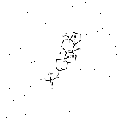 C[C@@]12CCC[C@H]1[C@@H]1CCC3CC(OP(=O)(O)O)CC[C@]3(C)[C@H]1CC2